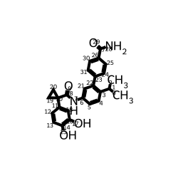 CC(C)c1ccc(NC(=O)C2(c3ccc(O)c(O)c3)CC2)cc1-c1ccc(C(N)=O)cc1